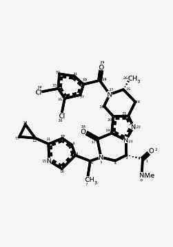 CNC(=O)[C@@H]1CN(C(C)c2ccc(C3CC3)nc2)C(=O)c2c3c(nn21)C[C@@H](C)N(C(=O)c1ccc(Cl)c(Cl)c1)C3